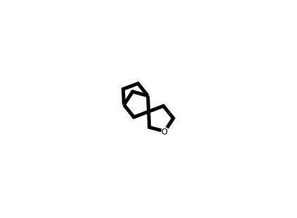 C1CC2(CO1)CC1CCC2C1